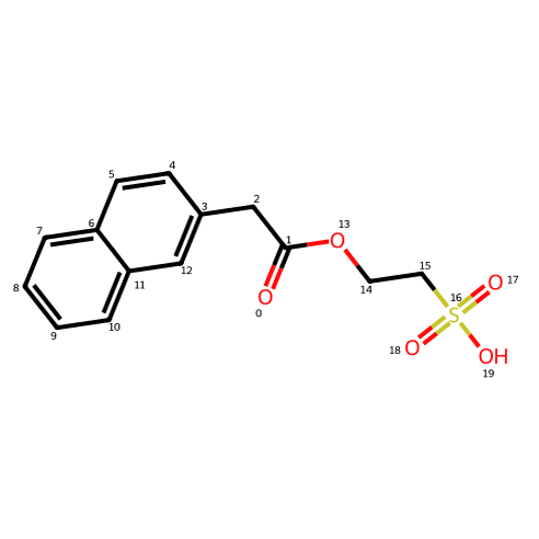 O=C(Cc1ccc2ccccc2c1)OCCS(=O)(=O)O